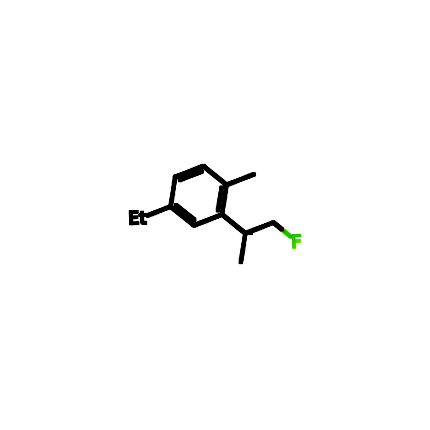 CCc1ccc(C)c([C](C)CF)c1